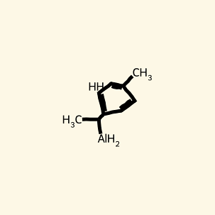 Cc1ccc([CH](C)[AlH2])cc1.[HH]